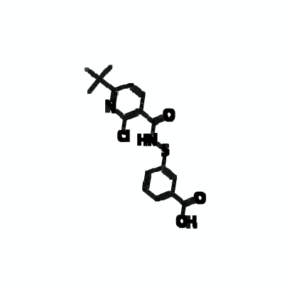 CC(C)(C)c1ccc(C(=O)NSc2cccc(C(=O)O)c2)c(Cl)n1